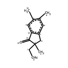 CC(=O)OCC1(C)Cc2cc(C)c(C)cc2C1=O